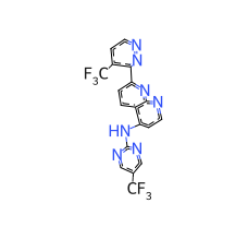 FC(F)(F)c1cnc(Nc2ccnc3nc(-c4nnccc4C(F)(F)F)ccc23)nc1